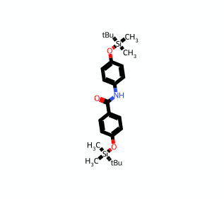 CC(C)(C)[Si](C)(C)Oc1ccc(NC(=O)c2ccc(O[Si](C)(C)C(C)(C)C)cc2)cc1